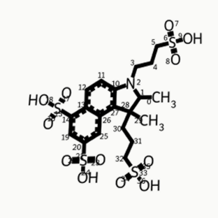 CC1N(CCCS(=O)(=O)O)c2ccc3c(S(=O)(=O)O)cc(S(=O)(=O)O)cc3c2C1(C)CCCS(=O)(=O)O